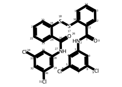 O=C(Nc1cc(Cl)cc(Cl)c1)c1ccccc1SSc1ccccc1C(=O)Nc1cc(Cl)cc(Cl)c1